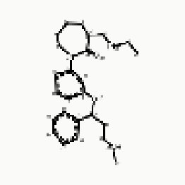 CCNC[C@@H]1CCCCN(c2cccc(OC(CCNC)c3ccccc3)c2)C1=O